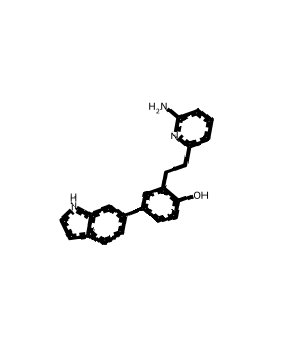 Nc1cccc(CCc2cc(-c3ccc4cc[nH]c4c3)ccc2O)n1